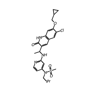 CC(C)CN(c1ccnc(NC(C)c2cc3cc(Cl)c(OCC4CC4)cc3[nH]c2=O)c1)S(C)(=O)=O